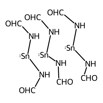 O=C[NH][Sn][NH]C=O.O=C[NH][Sn][NH]C=O.O=C[NH][Sn][NH]C=O